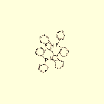 Cc1c(-c2c(C)c3ccccc3n2P(c2ccccc2)c2ccccc2)n(P(c2ccccc2)c2ccccc2)c2ccccc12